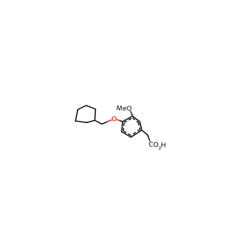 COc1cc(CC(=O)O)ccc1OCC1CCCCC1